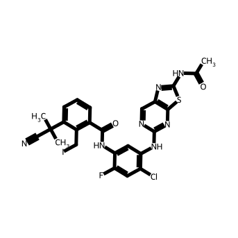 CC(=O)Nc1nc2cnc(Nc3cc(NC(=O)c4cccc(C(C)(C)C#N)c4CI)c(F)cc3Cl)nc2s1